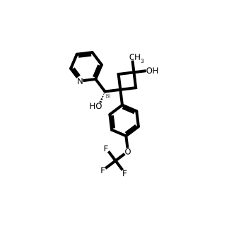 CC1(O)CC(c2ccc(OC(F)(F)F)cc2)([C@H](O)c2ccccn2)C1